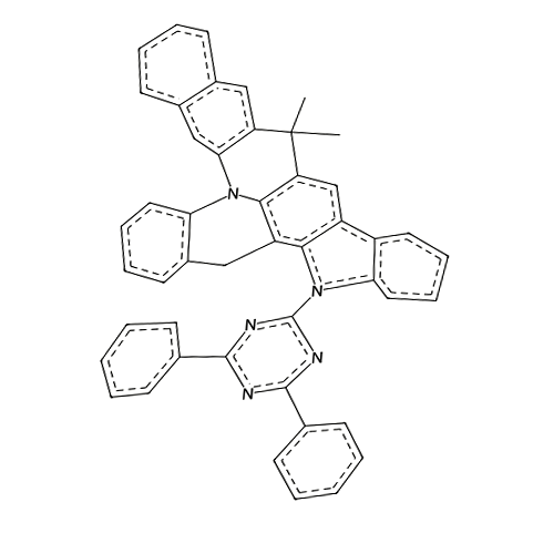 CC1(C)c2cc3ccccc3cc2N2c3ccccc3Cc3c2c1cc1c2ccccc2n(-c2nc(-c4ccccc4)nc(-c4ccccc4)n2)c31